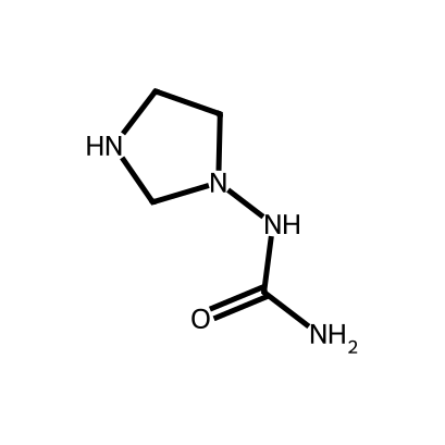 NC(=O)NN1CCNC1